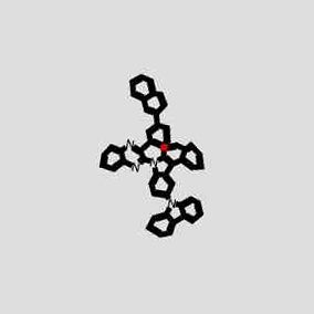 c1cc(-c2ccc3ccccc3c2)cc(-c2nc3ccccc3nc2-n2c3ccc(-n4c5ccccc5c5ccccc54)cc3c3c4ccccc4ccc32)c1